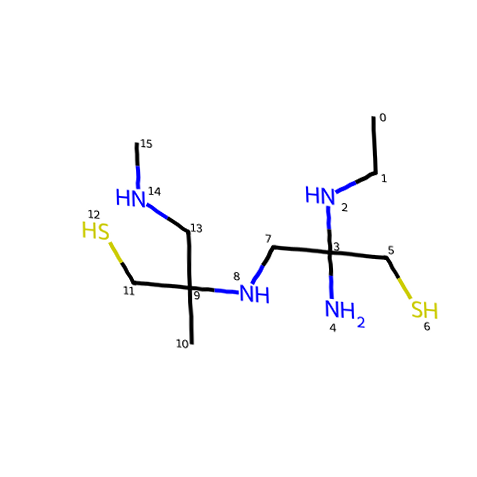 CCNC(N)(CS)CNC(C)(CS)CNC